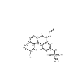 C=CCC1Oc2ccc(Cl)c(OC(F)F)c2-c2ccc(CS(N)(=O)=O)cc21